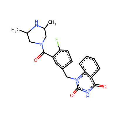 CC1CN(C(=O)c2cc(Cn3c(=O)[nH]c(=O)c4ccccc43)ccc2F)CC(C)N1